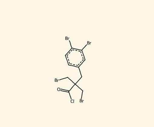 O=C(Cl)C(CBr)(CBr)Cc1ccc(Br)c(Br)c1